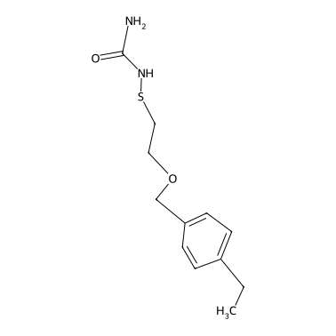 CCc1ccc(COCCSNC(N)=O)cc1